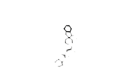 C=N/C(=C\N=C(/C)SC1CCOCC1)N1CCC2(CC1)Cc1ccccc1[C@H]2N